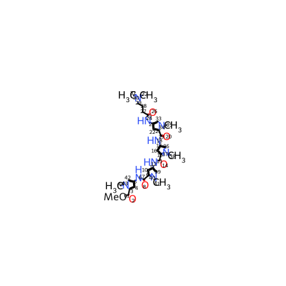 COC(=O)c1cc(NC(=O)c2cc(NC(=O)c3cc(NC(=O)c4cc(NC(=O)CCCN(C)C)cn4C)cn3C)cn2C)cn1C